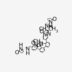 COc1nc(-c2cccc(-c3cccc(C4=CC5=NC(C)=C(CNC[C@@H]6CCC(=O)N6)C(OC)N5C=C4)c3Cl)c2Cl)ccc1CNC[C@@H]1CCC(=O)N1